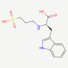 O=C(O)[C@@H](Cc1c[nH]c2ccccc12)NCCCS(=O)(=O)O